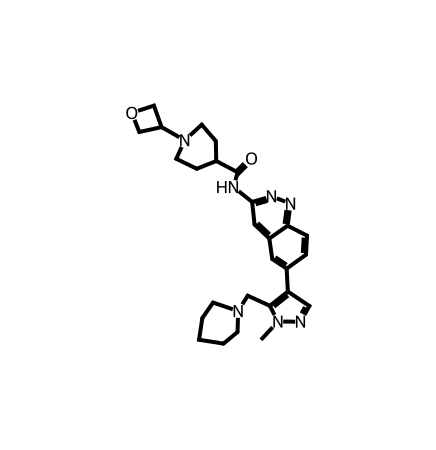 Cn1ncc(-c2ccc3nnc(NC(=O)C4CCN(C5COC5)CC4)cc3c2)c1CN1CCCCC1